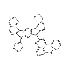 c1ccc(-n2c3cc4c(cc3c3c5ccccc5ccc32)c2c3ccccc3ccc2n4-c2nc3c4c(cccc4n2)Oc2ccccc2-3)cc1